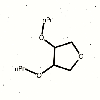 CCCOC1COCC1OCCC